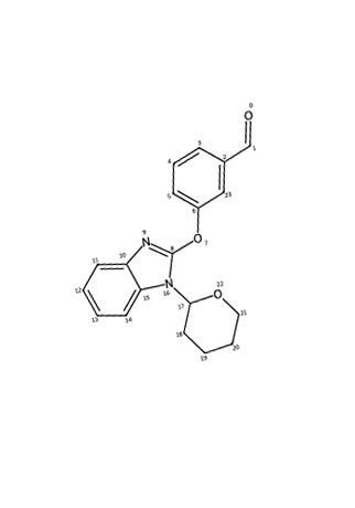 O=Cc1cccc(Oc2nc3ccccc3n2C2CCCCO2)c1